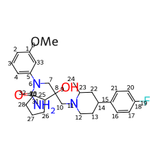 COc1cccc(N(CC(O)(CN2CCC(c3ccc(F)cc3)CC2C)C2CCCC2)C(N)=O)c1